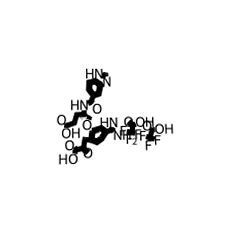 N=C(N)c1ccc(CC(=O)C(=O)O)c(OC[C@@H](CCC(=O)O)NC(=O)c2ccc3[nH]cnc3c2)c1.O=C(O)C(F)(F)F.O=C(O)C(F)(F)F